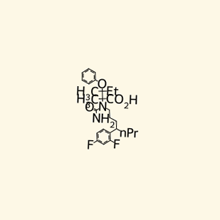 CCCC(CCCN(C(N)=O)C(C)(C(=O)O)C(C)(CC)Oc1ccccc1)c1ccc(F)cc1F